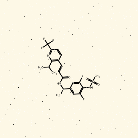 CC(C)c1nc(C(F)(F)F)ccc1/C=C/C(=O)N[C@H](C)c1cc(F)c(NS(C)(=O)=O)c(F)c1